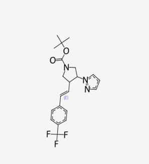 CC(C)(C)OC(=O)N1CC(/C=C/c2ccc(C(F)(F)F)cc2)C(n2cccn2)C1